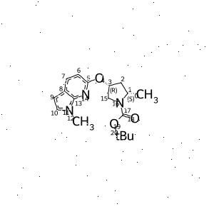 C[C@H]1C[C@@H](Oc2ccc3ccn(C)c3n2)CN1C(=O)OC(C)(C)C